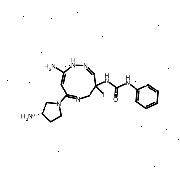 N/C1=C/C(N2CC[C@H](N)C2)=N\CC(I)(NC(=O)Nc2ccccc2)/C=N\N1